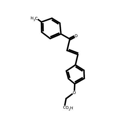 Cc1ccc(C(=O)C=Cc2ccc(OCC(=O)O)cc2)cc1